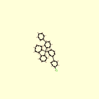 Clc1ccc(-c2cccc(C3(c4cccc(-c5ccccc5)c4)c4ccccc4-c4ccccc43)c2)cc1